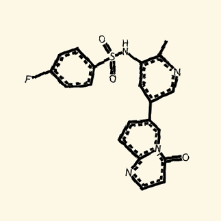 Cc1ncc(-c2ccc3nccc(=O)n3c2)cc1NS(=O)(=O)c1ccc(F)cc1